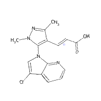 Cc1nn(C)c(-n2cc(Cl)c3cccnc32)c1/C=C/C(=O)O